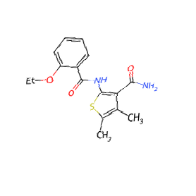 CCOc1ccccc1C(=O)Nc1sc(C)c(C)c1C(N)=O